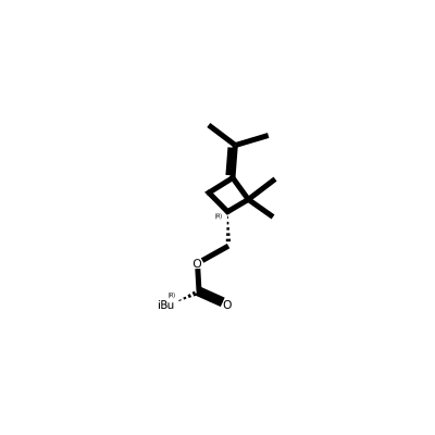 CC[C@@H](C)C(=O)OC[C@@H]1CC(=C(C)C)C1(C)C